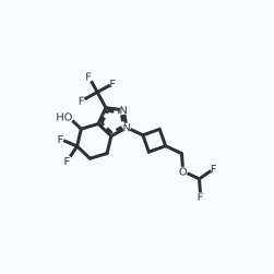 OC1c2c(C(F)(F)F)nn(C3CC(COC(F)F)C3)c2CCC1(F)F